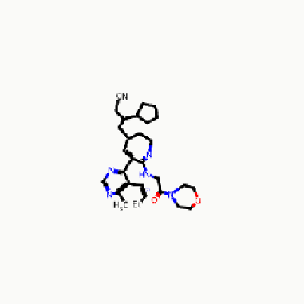 CC/C=C\c1c(C)ncnc1C1=CC(CC(CC#N)C2CCCC2)CCN=C1NCC(=O)N1CCOCC1